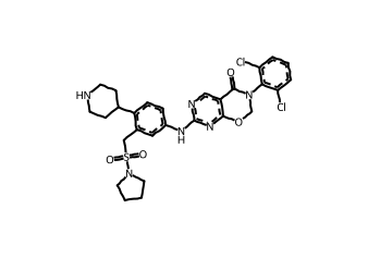 O=C1c2cnc(Nc3ccc(C4CCNCC4)c(CS(=O)(=O)N4CCCC4)c3)nc2OCN1c1c(Cl)cccc1Cl